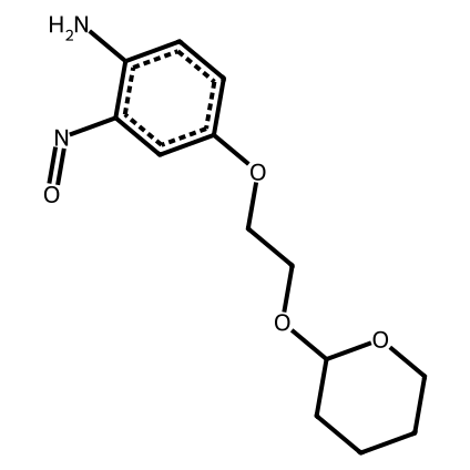 Nc1ccc(OCCOC2CCCCO2)cc1N=O